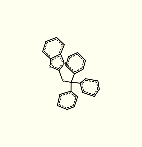 c1ccc(C(Sc2nc3ccccc3s2)(c2ccccc2)c2ccccc2)cc1